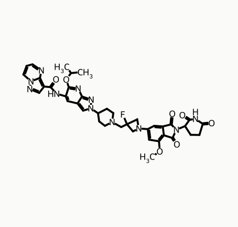 COc1cc(N2CC(F)(CN3CCC(n4cc5cc(NC(=O)c6cnn7cccnc67)c(OC(C)C)nc5n4)CC3)C2)cc2c1C(=O)N(C1CCC(=O)NC1=O)C2=O